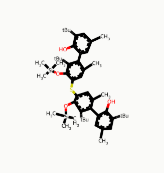 Cc1cc(-c2c(C)cc(Sc3cc(C)c(-c4cc(C)cc(C(C)(C)C)c4O)c(C(C)(C)C)c3O[Si](C)(C)C)c(O[Si](C)(C)C)c2C(C)(C)C)c(O)c(C(C)(C)C)c1